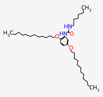 CCCCCCCCCCCCOc1ccc(OCCCCCCCCCCCC)c(NC(=O)NCCCCCC)c1